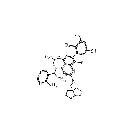 CCC(C)c1c(Cl)cc(O)cc1-c1nc2c3c(nc(OCC45CCCN4CCC5)nc3c1F)N(C(C)c1cccnc1N)CC(C)O2